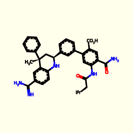 CC(C)CC(=O)Nc1cc(-c2cccc([C@@H]3C[C@](C)(c4ccccc4)c4cc(C(=N)N)ccc4N3)c2)c(C(=O)O)cc1C(N)=O